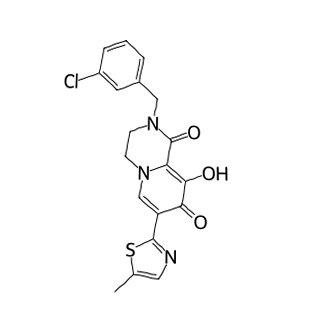 Cc1cnc(-c2cn3c(c(O)c2=O)C(=O)N(Cc2cccc(Cl)c2)CC3)s1